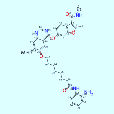 CCNC(=O)c1c(C)oc2cc(Oc3ncnc4cc(OC)c(OCCCCCCCC(=O)Nc5ccccc5N)cc34)ccc12